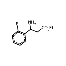 CCOC(=O)CC(N)c1ccccc1F